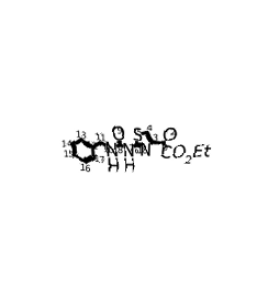 CCOC(=O)C(=O)c1csc(NC(=O)NCc2ccccc2)n1